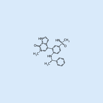 C[C@@H](Nc1ccc(S(C)(=N)=O)cc1-c1cn(C)c(=O)c2[nH]ccc12)c1ccccc1